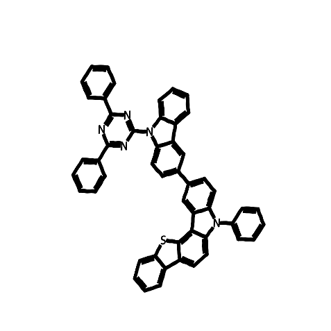 c1ccc(-c2nc(-c3ccccc3)nc(-n3c4ccccc4c4cc(-c5ccc6c(c5)c5c7sc8ccccc8c7ccc5n6-c5ccccc5)ccc43)n2)cc1